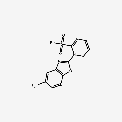 CCS(=O)(=O)C1=NC=CCN1c1nc2cc(C(F)(F)F)cnc2o1